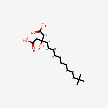 CC(C)(C)CCCCCCCCCCC(O)(CC(=O)O)CC(=O)O